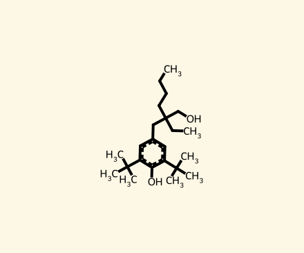 CCCCC(CC)(CO)Cc1cc(C(C)(C)C)c(O)c(C(C)(C)C)c1